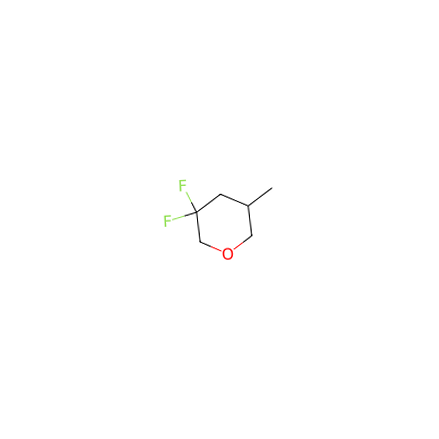 CC1COCC(F)(F)C1